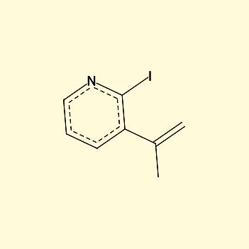 C=C(C)c1cccnc1I